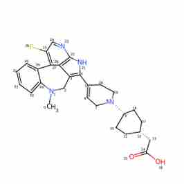 CN1Cc2c(C3=CCN([C@H]4CC[C@@H](CC(=O)O)CC4)CC3)[nH]c3ncc(F)c(c23)-c2ccccc21